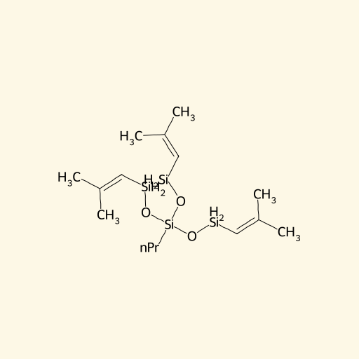 CCC[Si](O[SiH2]C=C(C)C)(O[SiH2]C=C(C)C)O[SiH2]C=C(C)C